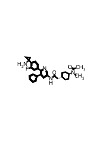 CC(=O)N(C)[C@H]1CC[C@H](CC(=O)Nc2cnc(-c3ccc(C4(N)CC4)c(F)c3)c(-c3ccccc3)c2)CC1